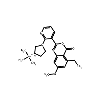 CCc1cc(OC)cc2nc(-c3cccnc3N3CC[C@H]([N+](C)(C)C)C3)oc(=O)c12